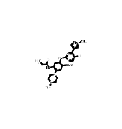 C=CC(=O)Nc1cc(Nc2ncc(Cl)c(-c3cnn(C)c3)n2)c(OC)cc1N1CCN(C)CC1